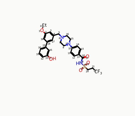 CCOc1cc(CN2CCN(c3ccc(C(=O)NS(=O)(=O)CCC(F)(F)F)cc3)CC2)cc(-c2cccc(O)c2)c1